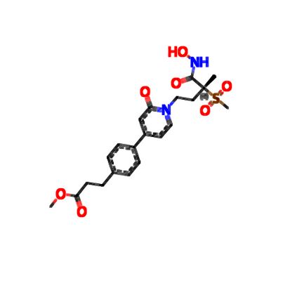 COC(=O)CCc1ccc(-c2ccn(CC[C@](C)(C(=O)NO)S(C)(=O)=O)c(=O)c2)cc1